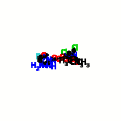 COc1ccc(C2=N[C@@H](c3ccc(Cl)cc3)[C@@H](c3ccc(Cl)cc3)N2C(=O)N2CCN(CCOCCOCCC(=O)NCCn3nc4c(c3C#N)-c3cnc(N)c(c3)N3CCC[C@@H]3c3cc(F)ccc3C(=O)N(C3CC3)C4)C(=O)C2)c(OC(C)C)c1